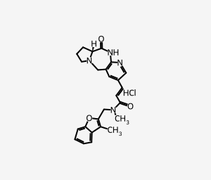 Cc1c(CN(C)C(=O)C=Cc2cnc3c(c2)CN2CCC[C@@H]2C(=O)N3)oc2ccccc12.Cl